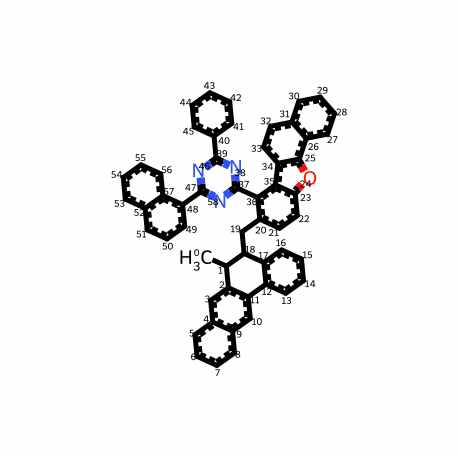 CC1c2cc3ccccc3cc2-c2ccccc2C1Cc1ccc2oc3c4ccccc4ccc3c2c1-c1nc(-c2ccccc2)nc(-c2cccc3ccccc23)n1